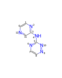 c1cnc(Nc2nccnn2)cn1